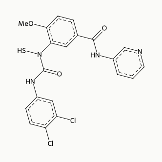 COc1ccc(C(=O)Nc2cccnc2)cc1N(S)C(=O)Nc1ccc(Cl)c(Cl)c1